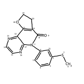 CSc1cccc(-n2c(=O)c3c(c4nccnc42)OCC3)c1